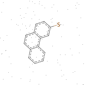 [S]c1ccc2ccc3ccccc3c2c1